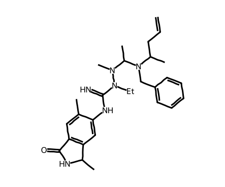 C=CCC(C)N(Cc1ccccc1)C(C)N(C)N(CC)C(=N)Nc1cc2c(cc1C)C(=O)NC2C